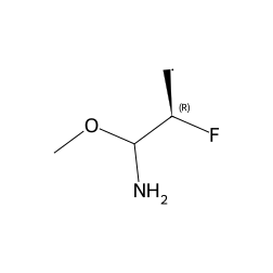 [CH2][C@@H](F)C(N)OC